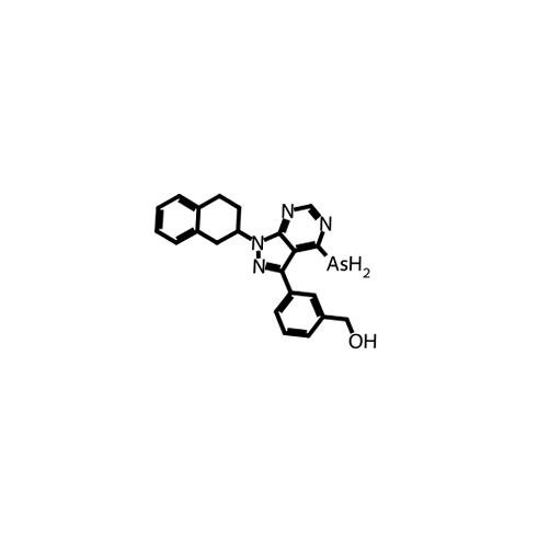 OCc1cccc(-c2nn(C3CCc4ccccc4C3)c3ncnc([AsH2])c23)c1